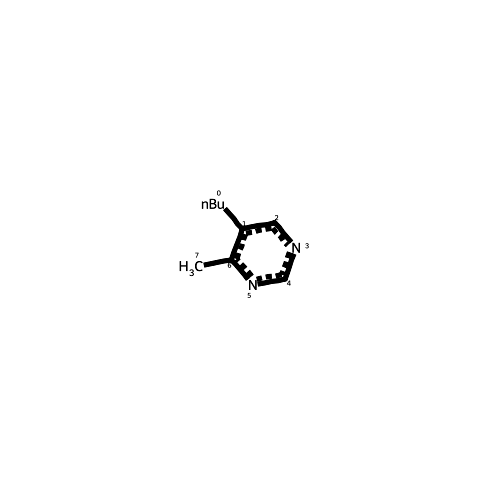 CCCCc1cncnc1C